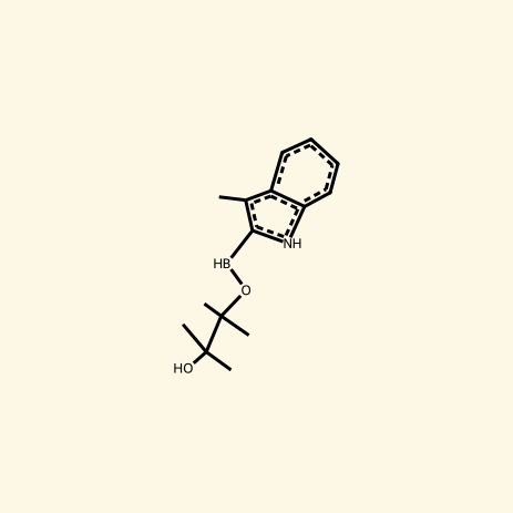 Cc1c(BOC(C)(C)C(C)(C)O)[nH]c2ccccc12